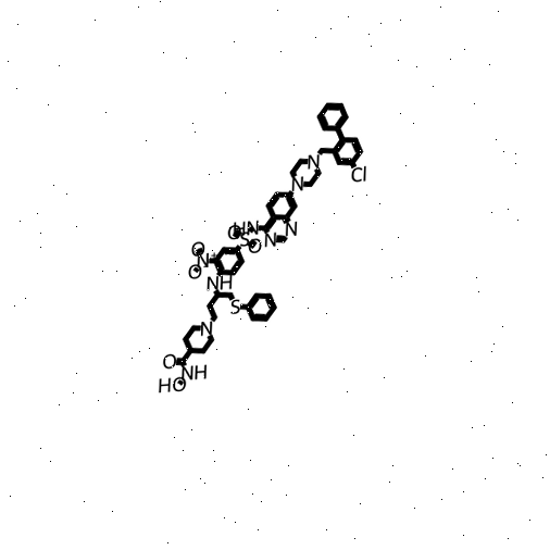 O=C(NO)C1CCN(CCC(CSc2ccccc2)Nc2ccc(S(=O)(=O)Nc3ncnc4cc(N5CCN(Cc6cc(Cl)ccc6-c6ccccc6)CC5)ccc34)cc2[N+](=O)[O-])CC1